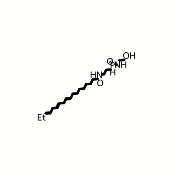 CCC=CCC=CCC=CCCCCCCCC(=O)NCCC[PH](=O)NCCO